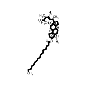 CCCCCCCCCCCCCCCC(=O)O[C@H]1CC[C@@]2(C)[C@@H](CC[C@@H]3[C@@H]2CC[C@]2(C)[C@@H]([C@H](C)/C=C(\C)[C@H](C)C(C)C)CC[C@@H]32)[C@@H]1C